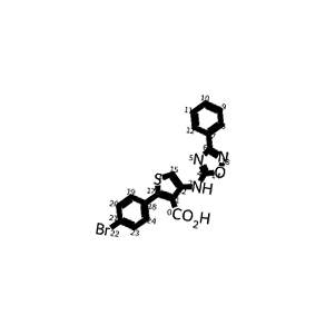 O=C(O)c1c(Nc2nc(-c3ccccc3)no2)csc1-c1ccc(Br)cc1